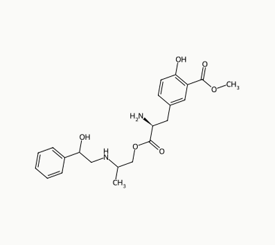 COC(=O)c1cc(C[C@H](N)C(=O)OCC(C)NCC(O)c2ccccc2)ccc1O